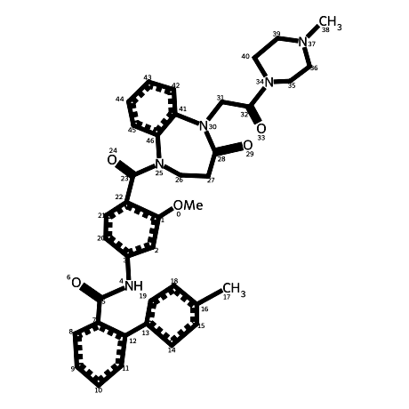 COc1cc(NC(=O)c2ccccc2-c2ccc(C)cc2)ccc1C(=O)N1CCC(=O)N(CC(=O)N2CCN(C)CC2)c2ccccc21